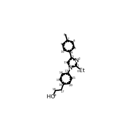 CCc1nc(-c2ccc(C)cc2)cn1-c1ccc(CCO)cc1